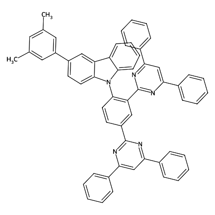 Cc1cc(C)cc(-c2ccc3c(c2)c2ccccc2n3-c2ccc(-c3nc(-c4ccccc4)cc(-c4ccccc4)n3)cc2-c2nc(-c3ccccc3)cc(-c3ccccc3)n2)c1